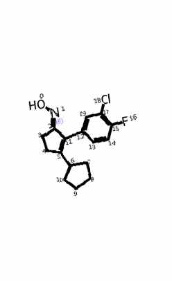 O/N=C1\CCC(C2CCCC2)=C1c1ccc(F)c(Cl)c1